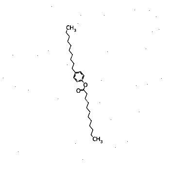 CCCCCCCCCCCC(=O)Oc1ccc(CCCCCCCCCC)cc1